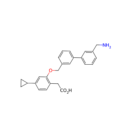 NCc1cccc(-c2cccc(COc3cc(C4CC4)ccc3CC(=O)O)c2)c1